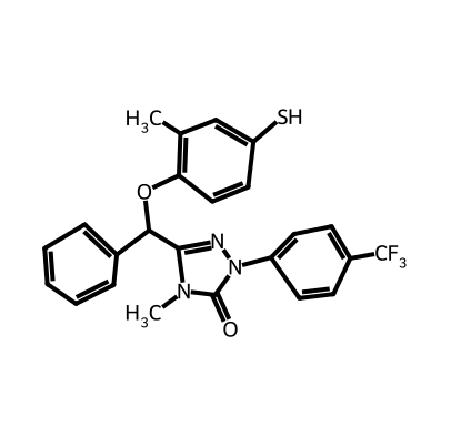 Cc1cc(S)ccc1OC(c1ccccc1)c1nn(-c2ccc(C(F)(F)F)cc2)c(=O)n1C